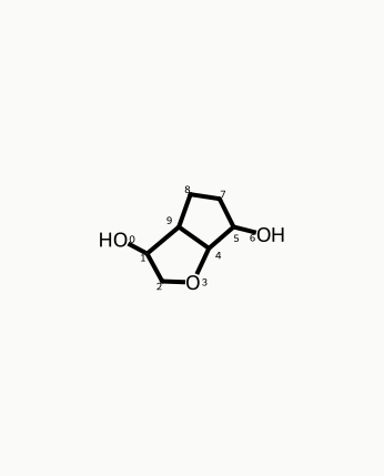 OC1COC2C(O)CCC12